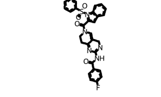 O=C(NC1=NCC2=CN(C(=O)c3cc4ccccc4n3S(=O)(=O)c3ccccc3)CCC2=N1)c1ccc(F)cc1